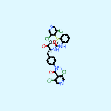 COC(=O)[C@H](Cc1ccc(NC(=O)c2c(Cl)cncc2Cl)cc1)NC(=O)Nc1ccccc1Sc1c(Cl)cncc1Cl